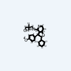 COc1ccc(-c2c(-c3ccccc3)oc3ccnc(NCC(C)(C)CO)c23)cc1